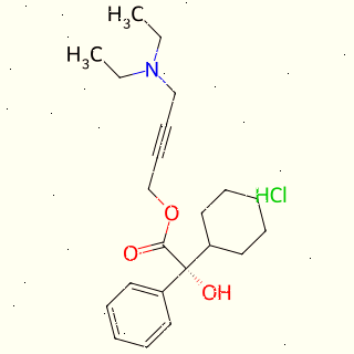 CCN(CC)CC#CCOC(=O)[C@](O)(c1ccccc1)C1CCCCC1.Cl